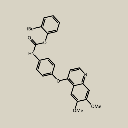 COc1cc2nccc(Oc3ccc(NC(=O)Oc4ccccc4C(C)(C)C)cc3)c2cc1OC